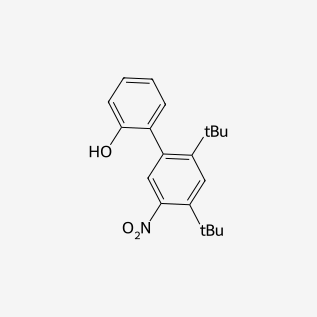 CC(C)(C)c1cc(C(C)(C)C)c([N+](=O)[O-])cc1-c1ccccc1O